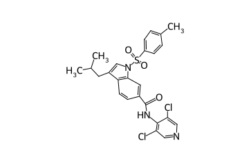 Cc1ccc(S(=O)(=O)n2cc(CC(C)C)c3ccc(C(=O)Nc4c(Cl)cncc4Cl)cc32)cc1